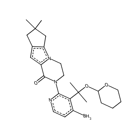 Bc1ccnc(N2CCn3c(cc4c3CC(C)(C)C4)C2=O)c1C(C)(C)OC1CCCCO1